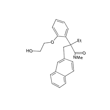 CCC(Cc1ccc2ccccc2c1)(C(=O)NC)c1ccccc1OCCO